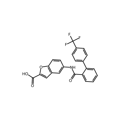 O=C(O)c1cc2cc(NC(=O)c3ccccc3-c3ccc(C(F)(F)F)cc3)ccc2o1